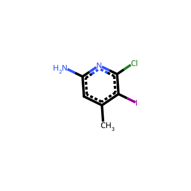 Cc1cc(N)nc(Cl)c1I